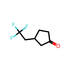 O=C1CCC(CC(F)(F)F)C1